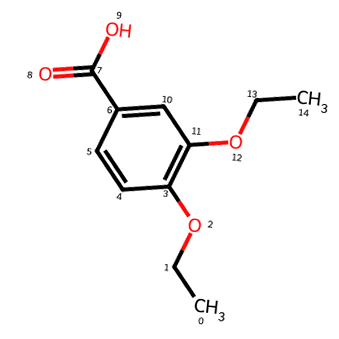 CCOc1ccc(C(=O)O)cc1OCC